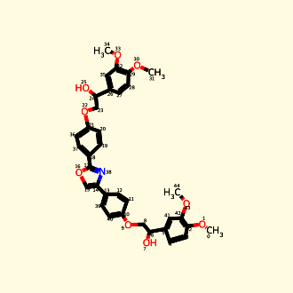 COc1ccc(C(O)COc2ccc(-c3coc(-c4ccc(OCC(O)c5ccc(OC)c(OC)c5)cc4)n3)cc2)cc1OC